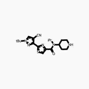 CC(C)N(C(=O)c1csc(-c2nn(C(C)(C)C)cc2C#N)n1)C1CCNCC1